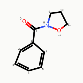 O=C(c1ccccc1)N1CCCO1